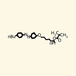 C=C(C)C(=O)OC(CCC)CCCCCOc1ccc(/N=N/c2ccc(CCCC)cc2)cc1